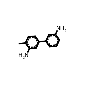 Cc1ccc(-c2cccc(N)c2)cc1N